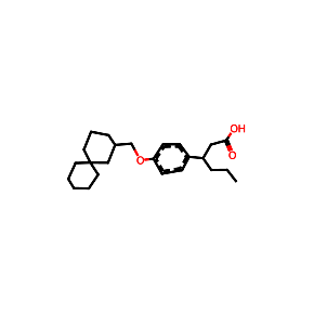 CCCC(CC(=O)O)c1ccc(OCC2CCCC3(CCCCC3)C2)cc1